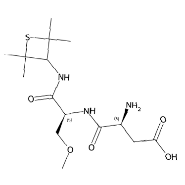 COC[C@H](NC(=O)[C@@H](N)CC(=O)O)C(=O)NC1C(C)(C)SC1(C)C